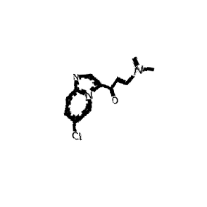 CN(C)/C=C/C(=O)c1cnc2ccc(Cl)cn12